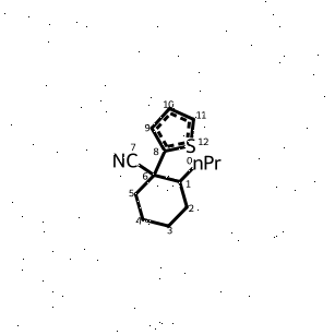 CCCC1CCCCC1(C#N)c1cccs1